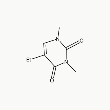 [CH2-][CH+]c1cn(C)c(=O)n(C)c1=O